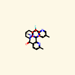 Cc1ccc(OC2CC3CCC2N(C(=O)c2ccc(C)nc2-c2ncc(F)cn2)C3)nc1